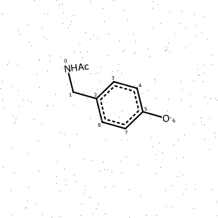 CC(=O)NCc1ccc([O])cc1